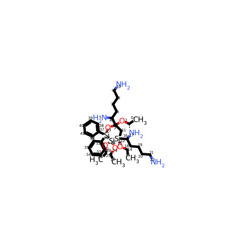 CCOC1(C(N)CCCCN)C[Si](OCC)(C(N)CCCCN)[Si](OCC)(OCC)[Si](c2ccccc2)(c2ccccc2)O1